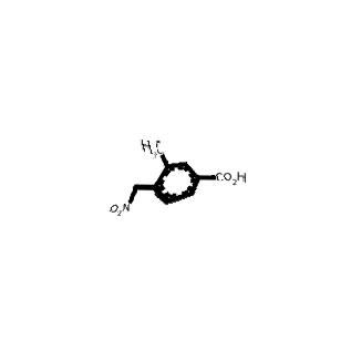 Cc1cc(C(=O)O)ccc1C[N+](=O)[O-]